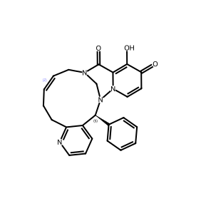 O=C1c2c(O)c(=O)ccn2N2CN1C/C=C\CCc1ncccc1[C@@H]2c1ccccc1